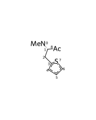 CN[C@@H](Cc1cccs1)C(C)=O